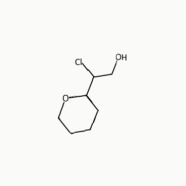 OCC(Cl)C1CCCCO1